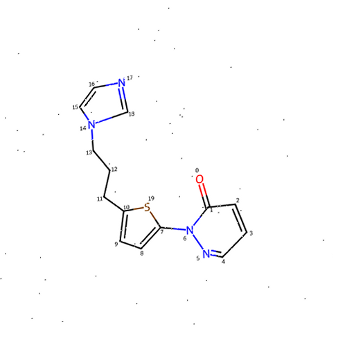 O=c1cccnn1-c1ccc(CCCn2ccnc2)s1